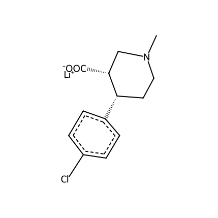 CN1CC[C@H](c2ccc(Cl)cc2)[C@H](C(=O)[O-])C1.[Li+]